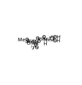 C=C(C)C(=O)OCC(COCCC[Si](C)(OC)OC)OC(=O)CCC(=O)NCCc1ccc(O)c(O)c1